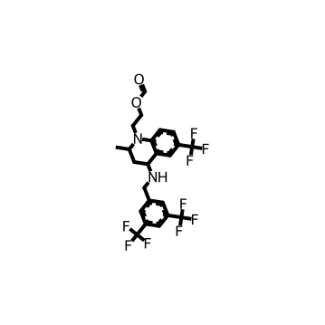 CC1CC(NCc2cc(C(F)(F)F)cc(C(F)(F)F)c2)c2cc(C(F)(F)F)ccc2N1CCOC=O